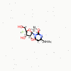 CC(=O)Nc1ccn([C@]2(C)O[C@](F)(CO)[C@@H](O)[C@H]2O)c(=O)n1